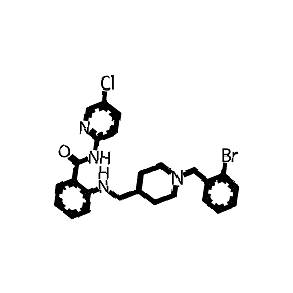 O=C(Nc1ccc(Cl)cn1)c1ccccc1NCC1CCN(Cc2ccccc2Br)CC1